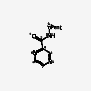 [CH2]CCCCNC(=O)c1cnccn1